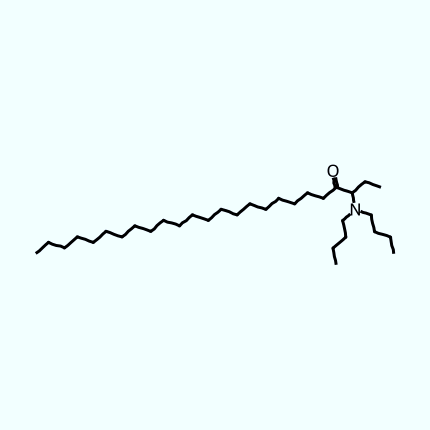 CCCCCCCCCCCCCCCCCCCCCC(=O)C(CC)N(CCCC)CCCC